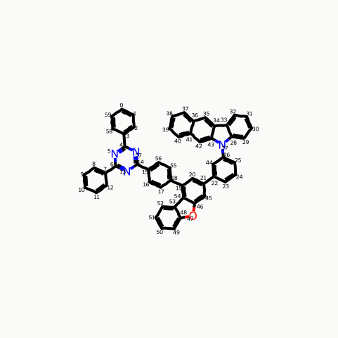 c1ccc(-c2nc(-c3ccccc3)nc(-c3ccc(-c4cc(-c5cccc(-n6c7ccccc7c7cc8ccccc8cc76)c5)cc5oc6ccccc6c45)cc3)n2)cc1